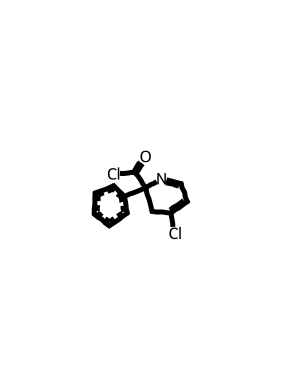 O=C(Cl)C1(c2ccccc2)CC(Cl)=CC=N1